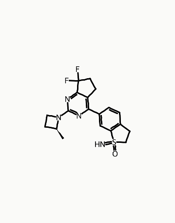 C[C@H]1CCN1c1nc(-c2ccc3c(c2)S(=N)(=O)CC3)c2c(n1)C(F)(F)CC2